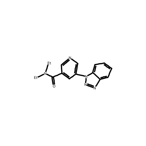 CCN(CC)C(=O)c1cncc(-n2nnc3ccccc32)c1